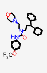 O=C(Nc1ccc(OC(F)(F)F)cc1)N(CCC(c1ccccc1)c1ccccc1)CCN1CCOCC1